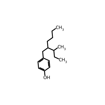 CCCCC(Cc1ccc(O)cc1)C(C)CC